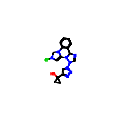 OC1(c2cn(N3C=NC4c5ccccc5N5CN(Cl)C=C5N43)nn2)CC1